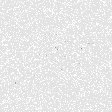 CNC(=O)C(c1ccc(F)c(F)c1)N(CCCc1ccc(C(F)(F)F)nc1)c1ccc(F)c(C)c1